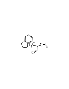 CC(C)C=O.c1ccc2c(c1)CCC2